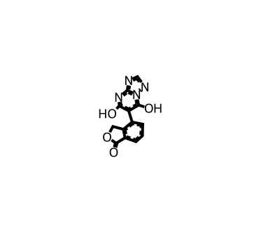 O=C1OCc2c1cccc2-c1c(O)nc2ncnn2c1O